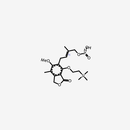 COc1c(C)c2c(c(OCC[Si](C)(C)C)c1C/C=C(\C)CO[PH](=O)O)C(=O)OC2